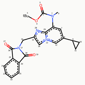 CN(C(=O)OC(C)(C)C)c1cc(C2CC2)cn2cc(CN3C(=O)c4ccccc4C3=O)nc12